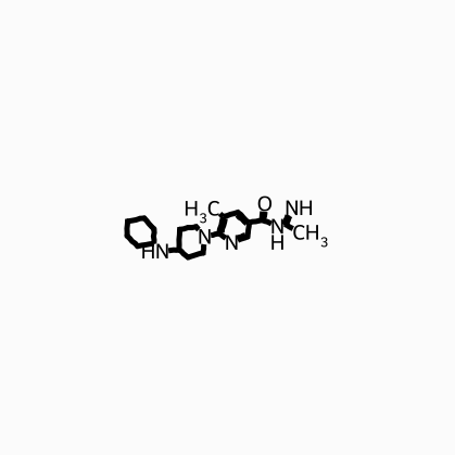 CC(=N)NC(=O)c1cnc(N2CCC(NC3CCCCC3)CC2)c(C)c1